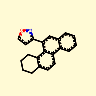 c1ccc2c(c1)cc(-c1ccon1)c1c3c(ccc12)CCCC3